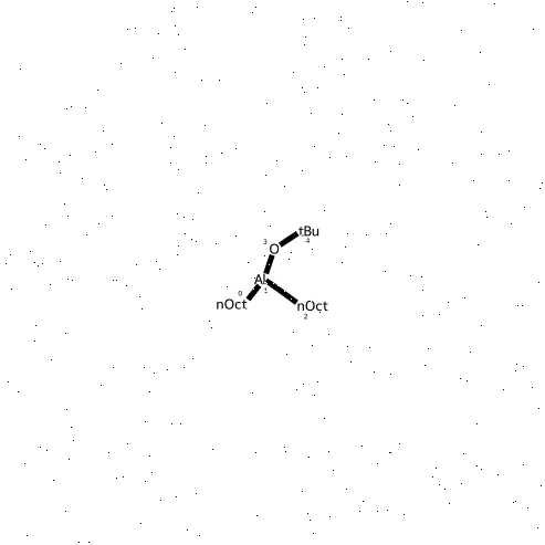 CCCCCCC[CH2][Al]([CH2]CCCCCCC)[O]C(C)(C)C